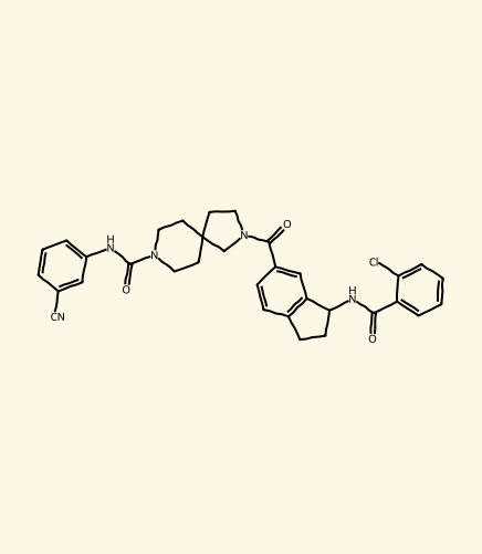 N#Cc1cccc(NC(=O)N2CCC3(CC2)CCN(C(=O)c2ccc4c(c2)C(NC(=O)c2ccccc2Cl)CC4)C3)c1